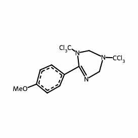 COc1ccc(C2=NCN(C(Cl)(Cl)Cl)CN2C(Cl)(Cl)Cl)cc1